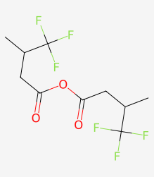 CC(CC(=O)OC(=O)CC(C)C(F)(F)F)C(F)(F)F